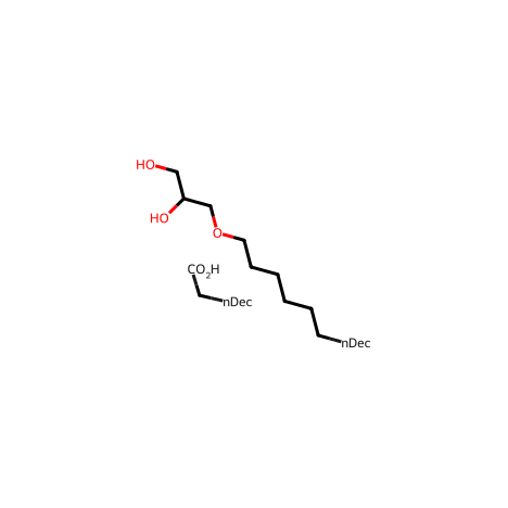 CCCCCCCCCCCC(=O)O.CCCCCCCCCCCCCCCCOCC(O)CO